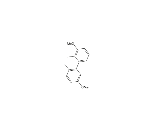 COc1ccc(C)c(-c2cc[c]c(OC)c2C)c1